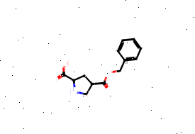 O=C(OCc1ccccc1)C1CNC(C(=O)O)C1